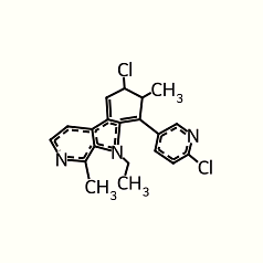 CCn1c2c(c3ccnc(C)c31)=CC(Cl)C(C)C=2c1ccc(Cl)nc1